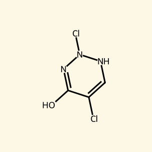 OC1=NN(Cl)NC=C1Cl